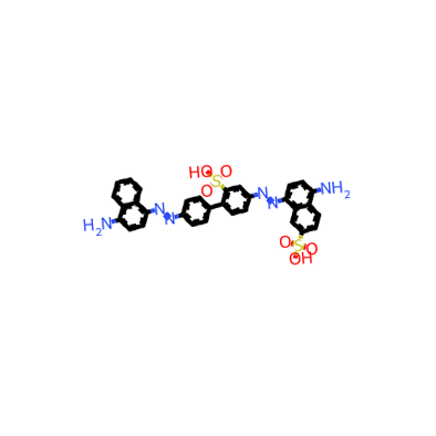 Nc1ccc(N=Nc2ccc(-c3ccc(N=Nc4ccc(N)c5ccc(S(=O)(=O)O)cc45)cc3S(=O)(=O)O)cc2)c2ccccc12